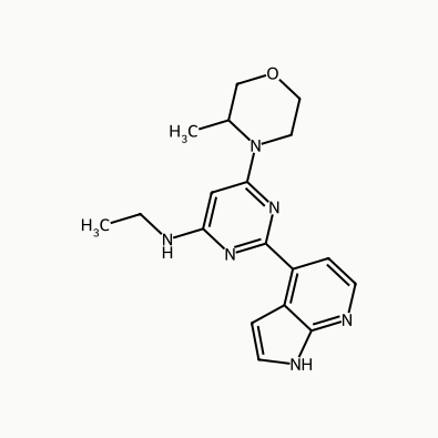 CCNc1cc(N2CCOCC2C)nc(-c2ccnc3[nH]ccc23)n1